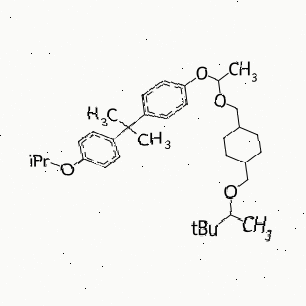 CC(C)Oc1ccc(C(C)(C)c2ccc(OC(C)OCC3CCC(COC(C)C(C)(C)C)CC3)cc2)cc1